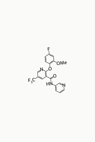 COc1cc(F)ccc1Oc1ncc(C(F)(F)F)cc1C(=O)Nc1cccnc1